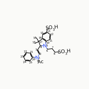 CC(=O)N(/C=C/C1N(CCCS(=O)(=O)O)c2ccc(S(=O)(=O)O)cc2C1(C)C)c1ccccc1